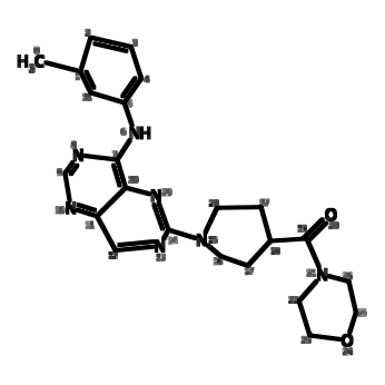 Cc1cccc(Nc2ncnc3cnc(N4CCC(C(=O)N5CCOCC5)CC4)nc23)c1